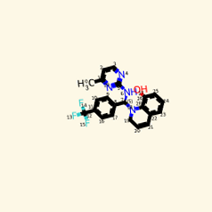 Cc1ccnc(N[C@H](c2ccc(C(F)(F)F)cc2)N2CC=Cc3cccc(O)c32)n1